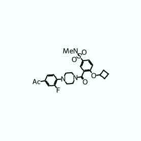 CNS(=O)(=O)c1ccc(OC2CCC2)c(C(=O)N2CCN(c3ccc(C(C)=O)cc3F)CC2)c1